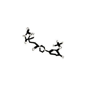 CC1(CCC(=O)N2CCN(c3ccc(Cl)c(OC(F)(F)F)c3)CC2)NC(=O)NC1=O